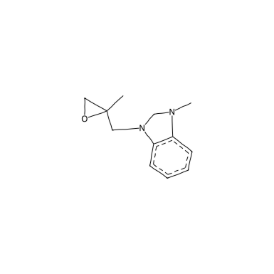 CN1CN(CC2(C)CO2)c2ccccc21